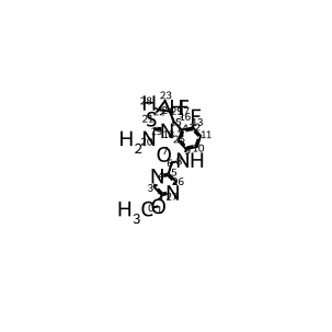 COc1cnc(C(=O)Nc2ccc(F)c([C@@]3(CF)N=C(N)S[C@H]4C[C@H]43)c2)cn1